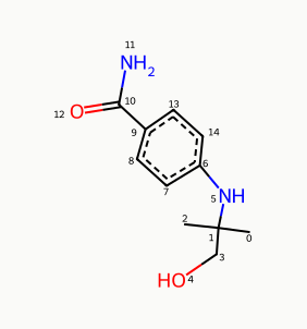 CC(C)(CO)Nc1ccc(C(N)=O)cc1